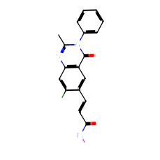 Cc1nc2cc(F)c(/C=C/C(=O)NO)cc2c(=O)n1-c1ccccc1